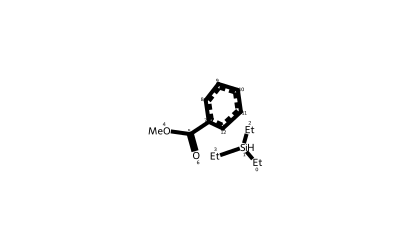 CC[SiH](CC)CC.COC(=O)c1ccccc1